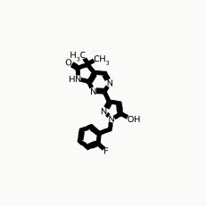 CC1(C)C(=O)Nc2nc(-c3cc(O)n(Cc4ccccc4F)n3)ncc21